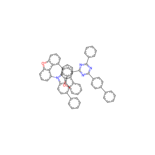 c1ccc(-c2ccc(-c3nc(-c4ccccc4)nc(-c4cc(-c5cccc6oc7cccc(-n8c9ccccc9c9cc(-c%10ccccc%10)ccc98)c7c56)cc5oc6ccccc6c45)n3)cc2)cc1